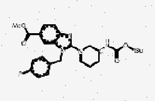 COC(=O)c1ccc2nc(N3CCC[C@@H](NC(=O)OC(C)(C)C)C3)n(Cc3ccc(F)cc3)c2c1